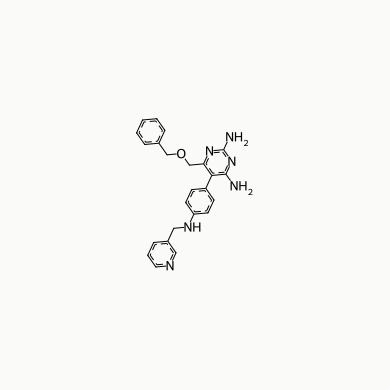 Nc1nc(N)c(-c2ccc(NCc3cccnc3)cc2)c(COCc2ccccc2)n1